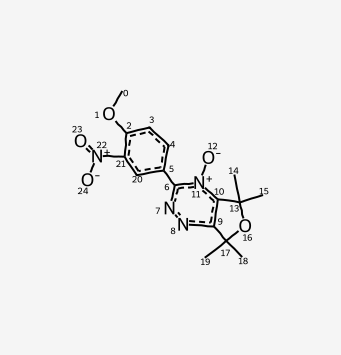 COc1ccc(-c2nnc3c([n+]2[O-])C(C)(C)OC3(C)C)cc1[N+](=O)[O-]